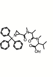 CC(C)C(C(=O)O)N(C)C(=O)C(C)N(C)C(=O)C1C[N@@]1C(c1ccccc1)(c1ccccc1)c1ccccc1